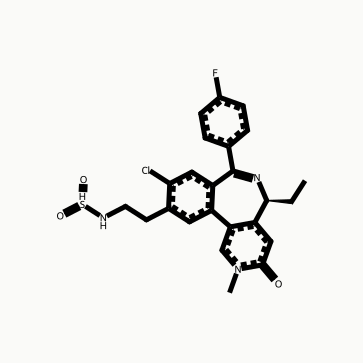 CC[C@@H]1N=C(c2ccc(F)cc2)c2cc(Cl)c(CCN[SH](=O)=O)cc2-c2cn(C)c(=O)cc21